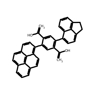 C=C(O)c1cc(-c2ccc3ccc4cccc5ccc2c3c45)c(C(=C)O)cc1-c1ccc2c3c(cccc13)CC2